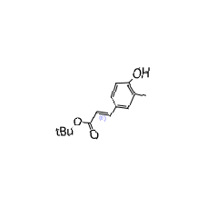 Cc1cc(/C=C/C(=O)OC(C)(C)C)ccc1O